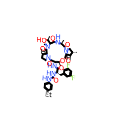 CCc1ccc(NC(=O)N[C@@H](Cc2cc(F)cc(F)c2)C(=O)N[C@@H]2C(=O)N3CCC[C@H]3C(=O)N(C)[C@@H]([C@H](C)O)C(=O)N[C@@H](C)C(=O)N3C[C@H](C)C[C@H]3C(=O)O[C@H]2C)cc1